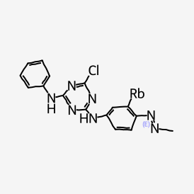 C/N=N/c1ccc(Nc2nc(Cl)nc(Nc3ccccc3)n2)c[c]1[Rb]